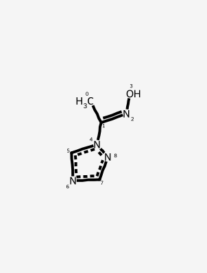 C/C(=N\O)n1cncn1